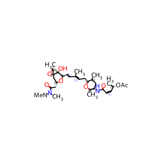 CNN(C)C(=O)C[C@@H]1C[C@]2(O[C@@H]2C)[C@H](O)[C@@H](/C=C/C(C)=C/C[C@@H]2O[C@H](C)[C@H](NC(=O)/C=C\[C@H](C)OC(C)=O)C[C@@H]2C)O1